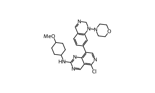 COC1CCC(Nc2ncc3c(Cl)ncc(-c4ccc5c(c4)N(N4CCOCC4)CN=C5)c3n2)CC1